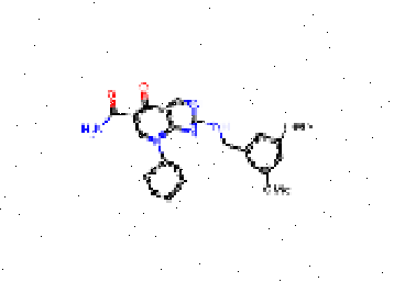 COc1cc(CNc2ncc3c(=O)c(C(N)=O)cn(-c4ccccc4)c3n2)cc(OC)c1